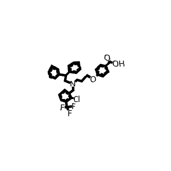 O=C(O)c1ccc(OCCCN(Cc2cccc(C(F)(F)F)c2Cl)CC(c2ccccc2)c2ccccc2)cc1